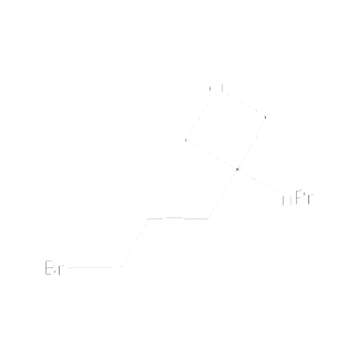 CCCC1(CCCBr)COC1